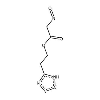 O=NCC(=O)OCCc1nnn[nH]1